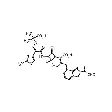 CC(C)(O/N=C(\C(=O)NC1C(=O)N2C(C(=O)O)=C(CN3C=CC=C4SC(NC=O)N=C43)CS[C@H]12)c1csc(N)n1)C(=O)O